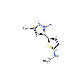 Cn1nc(C(F)(F)F)cc1-c1ccc(NC(=O)O)s1